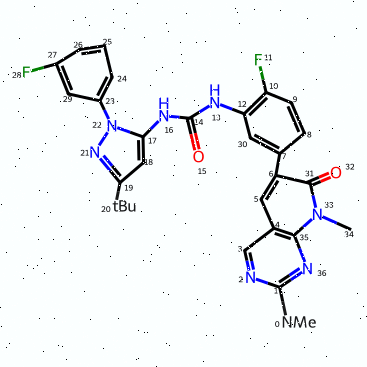 CNc1ncc2cc(-c3ccc(F)c(NC(=O)Nc4cc(C(C)(C)C)nn4-c4cccc(F)c4)c3)c(=O)n(C)c2n1